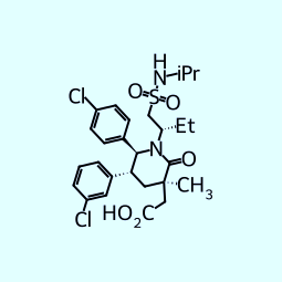 CC[C@@H](CS(=O)(=O)NC(C)C)N1C(=O)[C@@](C)(CC(=O)O)C[C@H](c2cccc(Cl)c2)[C@H]1c1ccc(Cl)cc1